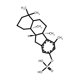 Cc1cc(OP(=O)(O)O)cc2c1[C@]1(C)CCC3C(C)(C)CCC[C@]3(C)[C@H]1C2